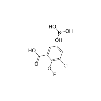 O=C(O)c1cccc(Cl)c1OF.OB(O)O